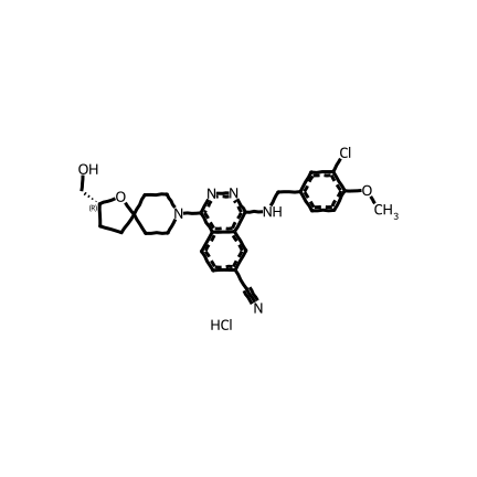 COc1ccc(CNc2nnc(N3CCC4(CC[C@H](CO)O4)CC3)c3ccc(C#N)cc23)cc1Cl.Cl